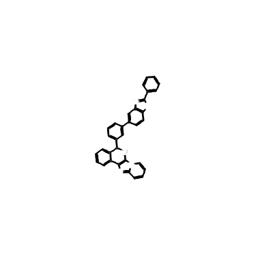 c1ccc(-c2nc3cc(-c4cccc(C5Nc6c(nc7ccccn67)-c6ccccc65)c4)ccc3s2)cc1